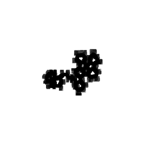 C#C/C=C\C(=C/CCn1c2ccccc2c2cc3c(cc21)-c1ccccc1C31c2ccccc2-c2ccccc21)c1ncccn1